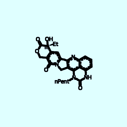 CCCCCN1C(=O)Nc2cccc3nc4c(c1c23)Cn1c-4cc2c(c1=O)COC(=O)[C@]2(O)CC